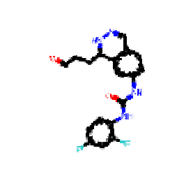 O=CCCC1NN=Cc2ccc(NC(=O)Nc3ccc(F)cc3F)cc21